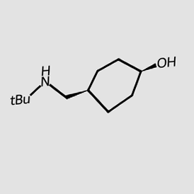 CC(C)(C)NC[C@H]1CC[C@@H](O)CC1